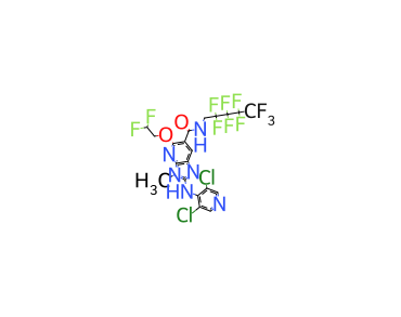 Cn1c(Nc2c(Cl)cncc2Cl)nc2cc(C(=O)NCC(F)(F)C(F)(F)C(F)(F)C(F)(F)F)c(OCC(F)F)nc21